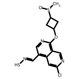 C[S+]([O-])C1CC(Oc2ncc(/C=N/S)c3cc(Cl)ncc23)C1